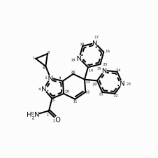 NC(=O)c1nn(C2CC2)c2c1C=CC(c1ccncn1)(c1ccncn1)C2